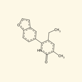 CCc1cc(C)c(=O)[nH]c1-c1ccc2occc2c1